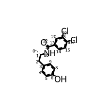 C[C@@H](Cc1ccc(O)cc1)NC(=O)c1ccc(Cl)c(Cl)c1